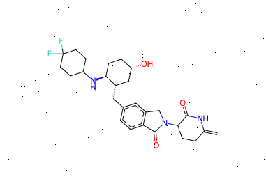 C=C1CCC(N2Cc3cc(C[C@H]4C[C@@H](O)CC[C@@H]4NC4CCC(F)(F)CC4)ccc3C2=O)C(=O)N1